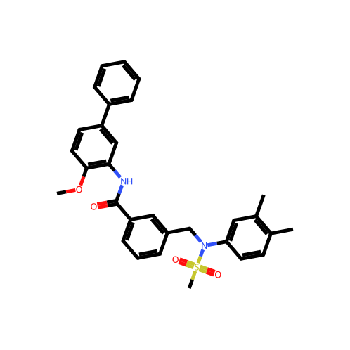 COc1ccc(-c2ccccc2)cc1NC(=O)c1cccc(CN(c2ccc(C)c(C)c2)S(C)(=O)=O)c1